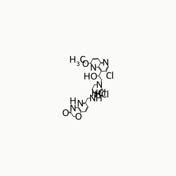 COc1ccc2ncc(Cl)c(C(O)CN3CCC(NCc4ccc5c(n4)NC(=O)CO5)CC3)c2n1.Cl.Cl